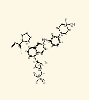 C=CC(=O)N1CCC[C@@H]1c1ccc(N2C[C@H](CS(C)(=O)=O)[C@H]2C)c2cnc(Nc3ccnc(N4CCC(C)(O)CC4)n3)cc12